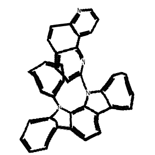 c1ccc(-n2c3ccccc3c3ccc4c5ccccc5n(-c5ccc6ccc7ncccc7c6n5)c4c32)cc1